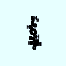 NCCC(=O)N[C@H]1CC[C@H](NC(=O)c2n[nH]c(=O)[nH]2)CC1